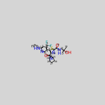 CCCNc1cc(C(F)F)c(-c2sc(C(=O)NCC(C)(C)O)nc2C(=O)N2C3CCC2CC3)cn1